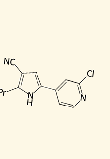 CC(C)c1[nH]c(-c2ccnc(Cl)c2)cc1C#N